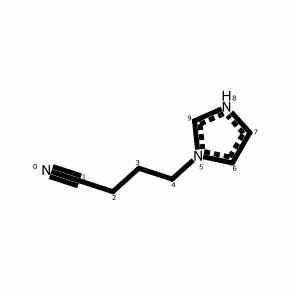 N#CCCC[n+]1cc[nH]c1